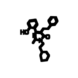 Cc1nc(-c2ccccc2O)c(CCc2ccccc2)c(=O)n1CCC1CCCCC1